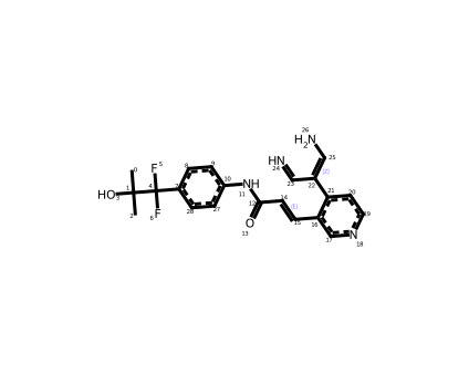 CC(C)(O)C(F)(F)c1ccc(NC(=O)/C=C/c2cnccc2/C(C=N)=C/N)cc1